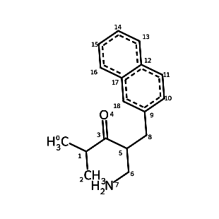 CC(C)C(=O)C(CN)Cc1ccc2ccccc2c1